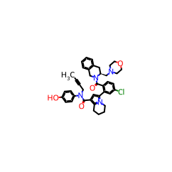 CC#CCN(C(=O)c1cc(-c2cc(Cl)ccc2C(=O)N2Cc3ccccc3C[C@H]2CN2CCOCC2)n2c1CCCC2)c1ccc(O)cc1